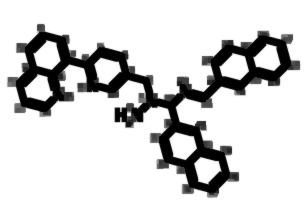 NN(Cc1ccc(-c2cccc3cccnc23)nc1)C(/N=C/c1ccc2ccccc2c1)c1ccc2ccccc2c1